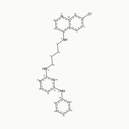 Clc1ccc2c(NCCCCNc3nccc(Nc4ccccc4)n3)ccnc2c1